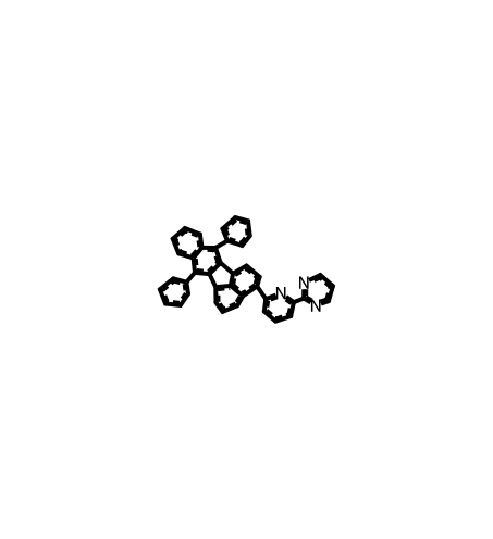 c1ccc(-c2c3c(c(-c4ccccc4)c4ccccc24)-c2ccc(-c4cccc(-c5ncccn5)n4)c4cccc-3c24)cc1